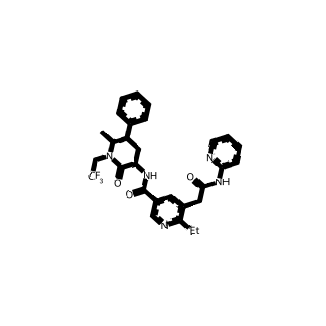 CCc1ncc(C(=O)NC2CC(c3ccccc3)C(C)N(CC(F)(F)F)C2=O)cc1CC(=O)Nc1ccccn1